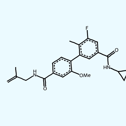 C=C(C)CNC(=O)c1ccc(-c2cc(C(=O)NC3CC3)cc(F)c2C)c(OC)c1